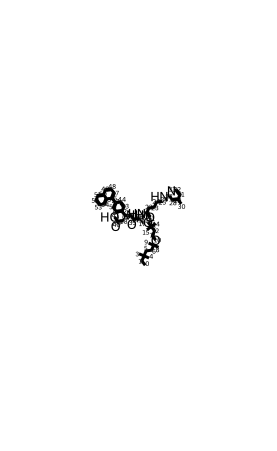 CCC(C)(C)CCC(C)(C)OCCC(C)(C)OC[C@H](NC(=O)CCCCNc1cc(C)ccn1)C(=O)N[C@@H](CC(=O)O)c1ccc(-c2cccc3ccccc23)cc1